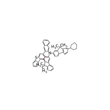 CC1(C)c2ccccc2-c2cc(N(c3ccc4c(c3)C(C)(C)c3cc(C5CCCCC5)ccc3-4)c3cc4ccccc4cc3-c3ccc4c(c3)sc3ccccc34)ccc21